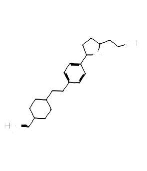 C=CC1CCC(CCc2ccc(C3CCC(CCC)O3)cc2)CC1